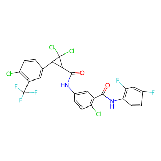 O=C(Nc1ccc(F)cc1F)c1cc(NC(=O)C2C(c3ccc(Cl)c(C(F)(F)F)c3)C2(Cl)Cl)ccc1Cl